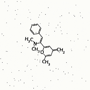 C=C1C=C(C)OC(C(=Cc2ccccc2)N(C)C)=C1